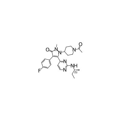 CC[C@H](C)Nc1nccc(-c2c(-c3ccc(F)cc3)c(=O)n(C)n2C2CCN(C(C)=O)CC2)n1